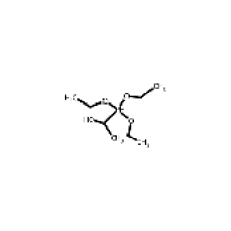 CCO[PH](OCC)(OCC)C(C)O